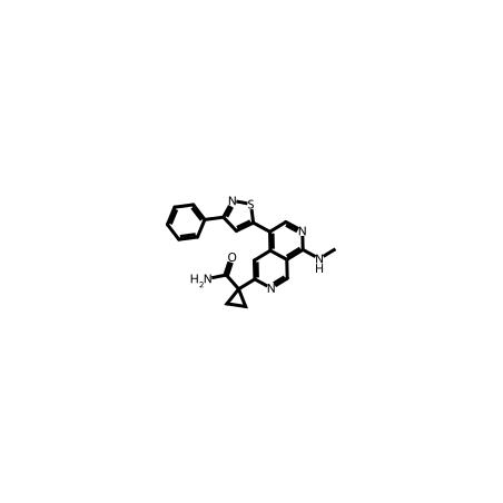 CNc1ncc(-c2cc(-c3ccccc3)ns2)c2cc(C3(C(N)=O)CC3)ncc12